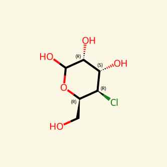 OC[C@H]1OC(O)[C@H](O)[C@H](O)[C@H]1Cl